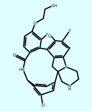 O=C1NC2C=CC(=CC(Cl)=C2)C23CNCCN2c2cc(F)c(Cl)c(c2C3)-c2c1ccc(OCCO)c2F